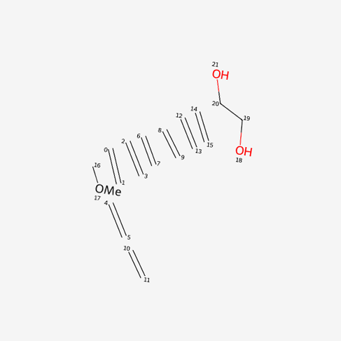 C=C.C=C.C=C.C=C.C=C.C=C.C=C.C=C.COC.OCCO